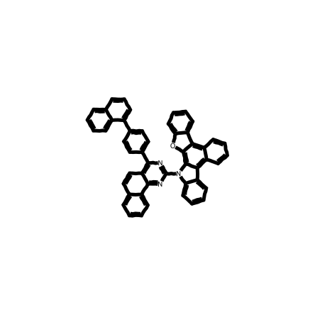 c1ccc2c(-c3ccc(-c4nc(-n5c6ccccc6c6c7ccccc7c7c8ccccc8oc7c65)nc5c4ccc4ccccc45)cc3)cccc2c1